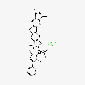 CC1=CC(C)(C)c2cc3c(cc21)-c1cc2c(cc1C3)C(C)(C)[C]([Zr+2]([C]1=C(C)C(c3ccccc3)=CC1C)=[C](C)C)=C2C.[Cl-].[Cl-]